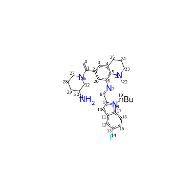 C=C(c1cc2c(c(/N=C/c3cc4cc(F)ccc4n3CCCC)c1)N(C)CCC2)N1CCCC(N)C1